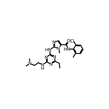 CCc1nc(NCCN(C)C)nc(Nc2ncc(C(=O)Nc3c(C)cccc3Cl)n2C)n1